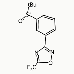 CC(C)(C)[S+]([O-])c1[c]ccc(-c2noc(C(F)(F)F)n2)c1